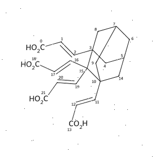 O=C(O)C=CC12CC3CC(C1)CC(C=CC(=O)O)(C3)C2(C=CC(=O)O)C=CC(=O)O